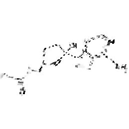 CC(C)C(=O)OC[C@H]1CC[C@](C#N)(c2ccc3c(N)ncnn23)O1